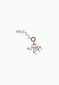 CCOC(=O)CCCOc1cccc(B2OC(C)(C)C(C)(C)O2)c1